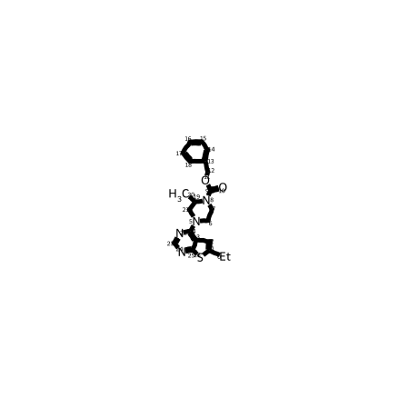 CCc1cc2c(N3CCN(C(=O)OCc4ccccc4)C(C)C3)ncnc2s1